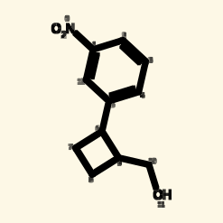 O=[N+]([O-])c1cccc(C2CCC2CO)c1